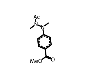 COC(=O)c1ccc(N(C)N(C)C(C)=O)cc1